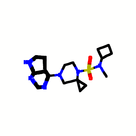 CN(C1CCC1)S(=O)(=O)N1CCN(c2ncnc3[nH]ccc23)CC12CC2